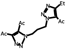 CCc1nnn(CCCn2nnc(C(C)=O)c2C(C)=O)c1C(C)=O